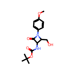 COc1ccc(N2C(=O)C(NC(=O)OC(C)(C)C)C2CO)cc1